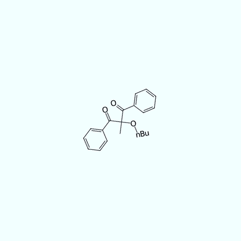 CCCCOC(C)(C(=O)c1ccccc1)C(=O)c1ccccc1